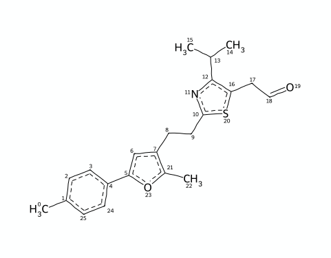 Cc1ccc(-c2cc(CCc3nc(C(C)C)c(CC=O)s3)c(C)o2)cc1